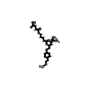 COCCc1ccc(OCC(CNC(C)C)OC(=O)CCCCOC(=O)CCC(=O)O)cc1